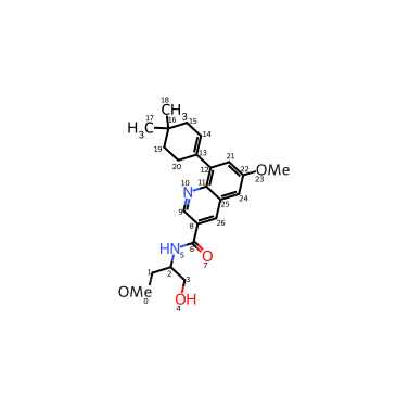 COCC(CO)NC(=O)c1cnc2c(C3=CCC(C)(C)CC3)cc(OC)cc2c1